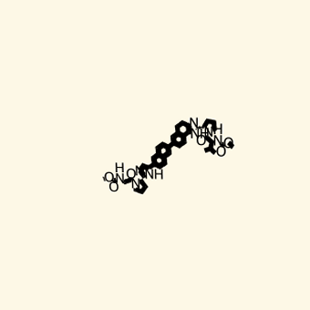 COC(=O)NCC(=O)N1CCC[C@H]1c1ncc(-c2ccc3cc(-c4ccc5c(c4)CCc4nc([C@@H]6CCCN6C(=O)[C@@H](NC(=O)OC)C(C)C)[nH]c4-5)ccc3c2)[nH]1